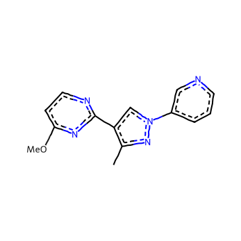 COc1ccnc(-c2cn(-c3cccnc3)nc2C)n1